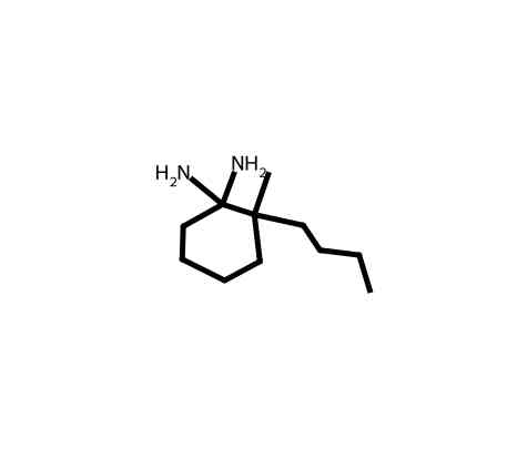 CCCCC1(C)CCCCC1(N)N